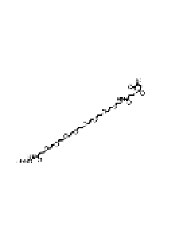 CCCCCNC(=O)CCOCCOCCOCCOCCOCCOCCOCCOCCNC(=O)CCN1C(=O)CC(CC)C1=O